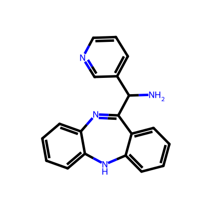 NC(C1=Nc2ccccc2Nc2ccccc21)c1cccnc1